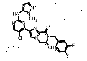 CC1Cn2cc(-c3nc(Nc4ccnn4C)ncc3Cl)nc2C(=O)N1Cc1ccc(F)c(F)c1